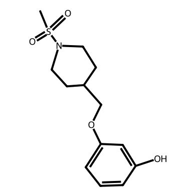 CS(=O)(=O)N1CCC(COc2cccc(O)c2)CC1